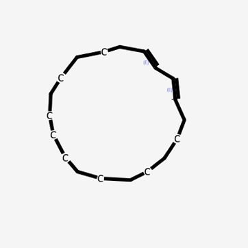 [C]1=C/C=C/CCCCCCCCCCCCCCC/1